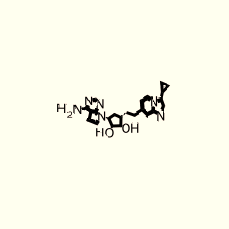 Nc1ncnc2c1ccn2[C@@H]1C[C@H](CCc2ccn3c(C4CC4)cnc3c2)[C@@H](O)[C@H]1O